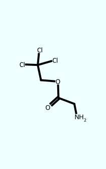 NCC(=O)OCC(Cl)(Cl)Cl